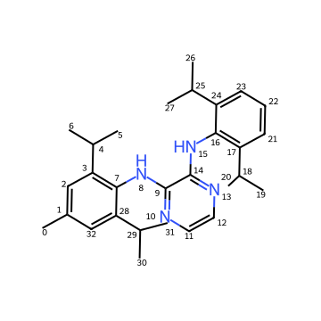 Cc1cc(C(C)C)c(Nc2nccnc2Nc2c(C(C)C)cccc2C(C)C)c(C(C)C)c1